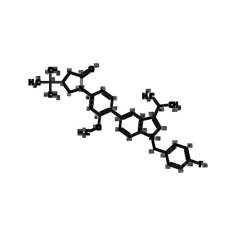 COc1cc(N2CC(C(C)(C)C)CC2=O)ccc1-c1ccc2c(c1)c(C(C)C)cn2Cc1ccc(F)cc1